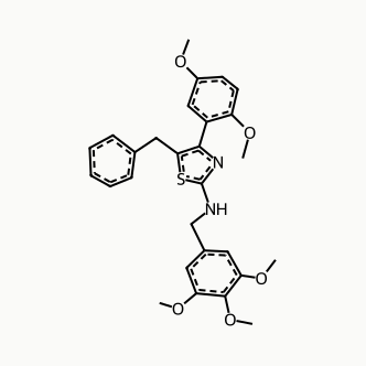 COc1ccc(OC)c(-c2nc(NCc3cc(OC)c(OC)c(OC)c3)sc2Cc2ccccc2)c1